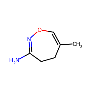 CC1=CON=C(N)CC1